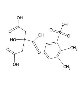 Cc1cccc(S(=O)(=O)O)c1C.O=C(O)CC(O)(CC(=O)O)C(=O)O